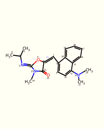 CC(C)N=C1O/C(=C/c2ccc(N(C)C)c3ccccc23)C(=O)N1C